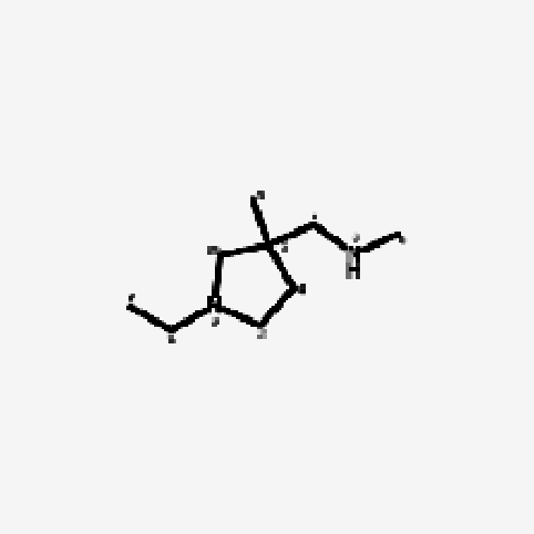 CCN1CCC(C)(CNC)C1